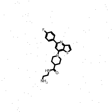 NCCNC(=O)C1CCN(c2cc(-c3ccc(F)cc3)nc3ccsc23)CC1